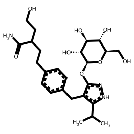 CC(C)c1[nH]nc(O[C@@H]2O[C@H](CO)[C@@H](O)[C@H](O)[C@H]2O)c1Cc1ccc(CCC(CCO)C(N)=O)cc1